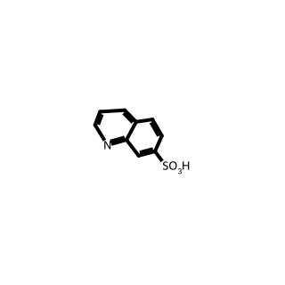 O=S(=O)(O)c1ccc2cccnc2c1